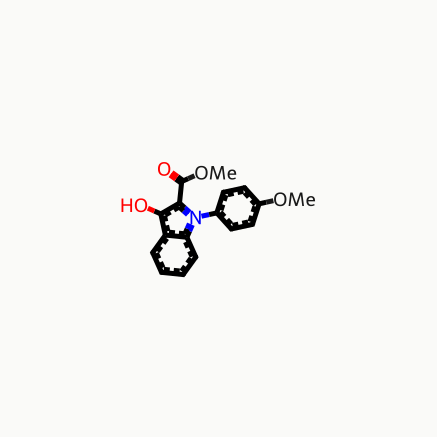 COC(=O)c1c(O)c2ccccc2n1-c1ccc(OC)cc1